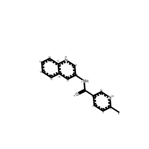 Cc1ccc(C(=O)Nc2cnc3ccccc3c2)cn1